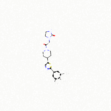 COc1c(C(C)(C)C)cc(-c2ncc(C3CCN(C(=O)CN4CCN(C)C4=O)CC3)s2)cc1C(C)(C)C